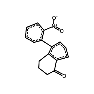 O=C1CCCc2c1cccc2-c1ccccc1[N+](=O)[O-]